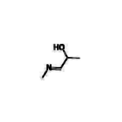 CN=CC(C)O